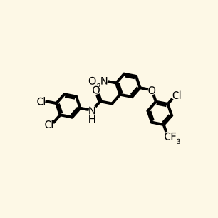 O=C(Cc1cc(Oc2ccc(C(F)(F)F)cc2Cl)ccc1[N+](=O)[O-])Nc1ccc(Cl)c(Cl)c1